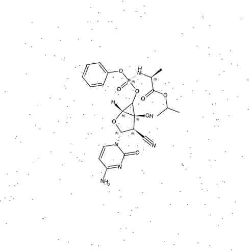 CC(C)OC(=O)[C@H](C)N[P@](=O)(Oc1ccccc1)OC1[C@H]2O[C@@H](n3ccc(N)nc3=O)[C@H](C#N)[C@@]12O